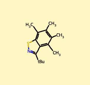 Cc1c(C)c(C)c2c(C(C)(C)C)nsc2c1C